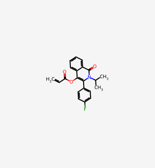 C=CC(=O)Oc1c(-c2ccc(F)cc2)n(C(C)C)c(=O)c2ccccc12